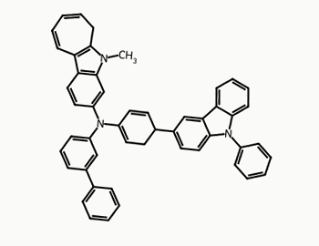 Cn1c2c(c3ccc(N(C4=CCC(c5ccc6c(c5)c5ccccc5n6-c5ccccc5)C=C4)c4cccc(-c5ccccc5)c4)cc31)C=CC=CC2